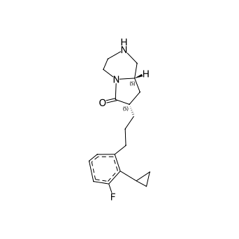 O=C1[C@@H](CCCc2cccc(F)c2C2CC2)C[C@H]2CNCCN12